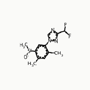 Cc1cc(C)c([S+](C)[O-])cc1-n1cnc(C(F)F)n1